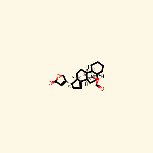 C[C@]12CC[C@H]3[C@@H](CC[C@H]4CCCC[C@@]43COC=O)C1=CC[C@@H]2C1=CC(=O)OC1